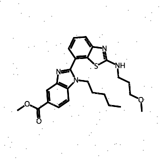 CCCCCn1c(-c2cccc3nc(NCCCOC)sc23)nc2cc(C(=O)OC)ccc21